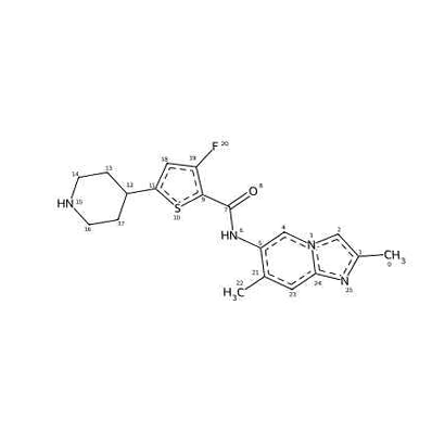 Cc1cn2cc(NC(=O)c3sc(C4CCNCC4)cc3F)c(C)cc2n1